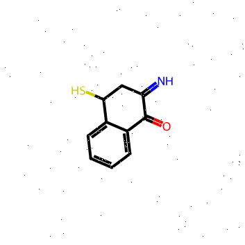 N=C1CC(S)c2ccccc2C1=O